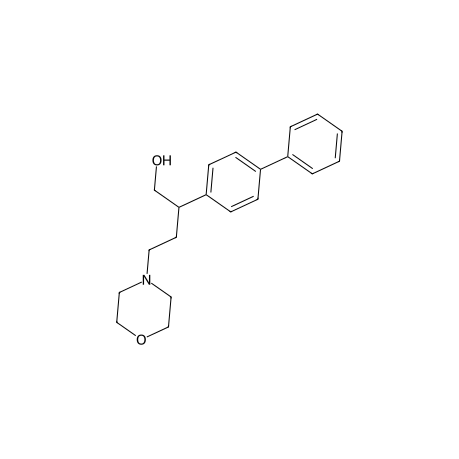 OCC(CCN1CCOCC1)c1ccc(-c2ccccc2)cc1